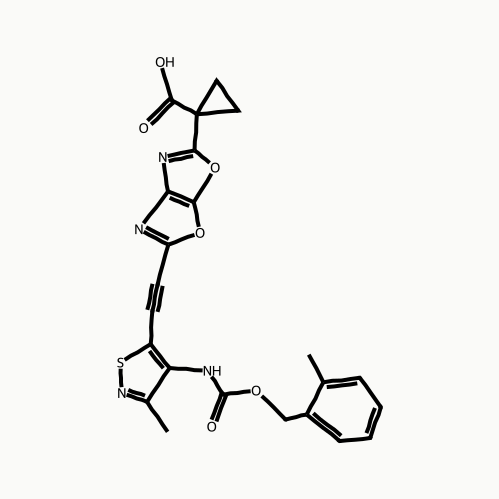 Cc1ccccc1COC(=O)Nc1c(C)nsc1C#Cc1nc2nc(C3(C(=O)O)CC3)oc2o1